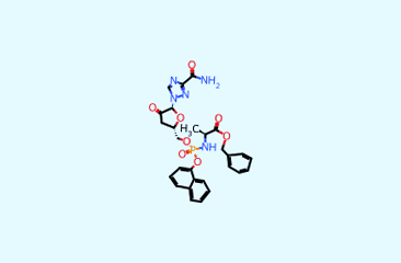 C[C@H](NP(=O)(OC[C@@H]1CC(=O)[C@H](n2cnc(C(N)=O)n2)O1)Oc1cccc2ccccc12)C(=O)OCc1ccccc1